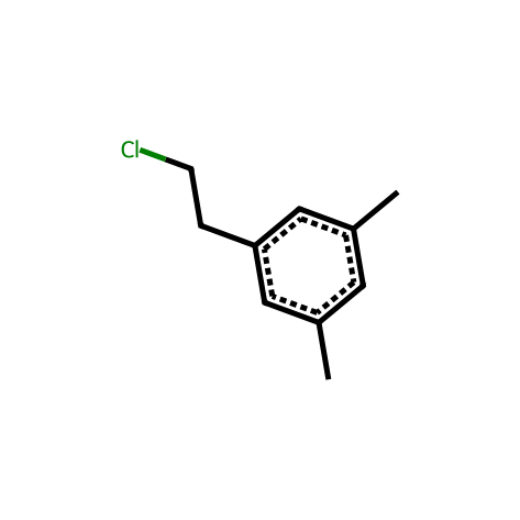 Cc1cc(C)cc(CCCl)c1